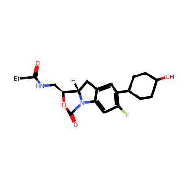 CCC(=O)NC[C@@H]1OC(=O)N2c3cc(F)c(C4CCC(O)CC4)cc3C[C@@H]12